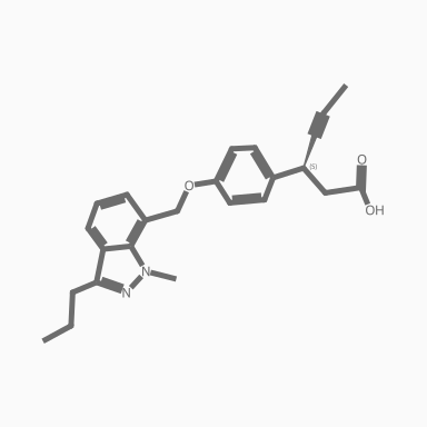 CC#C[C@@H](CC(=O)O)c1ccc(OCc2cccc3c(CCC)nn(C)c23)cc1